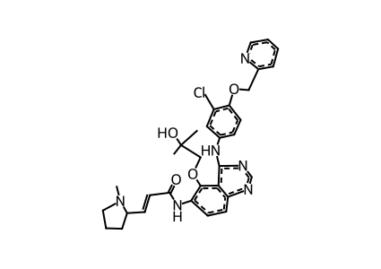 CN1CCCC1/C=C/C(=O)Nc1ccc2ncnc(Nc3ccc(OCc4ccccn4)c(Cl)c3)c2c1OCC(C)(C)O